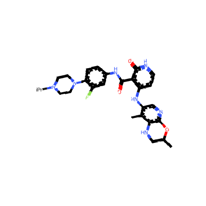 Cc1c(Nc2cc[nH]c(=O)c2C(=O)Nc2ccc(N3CCN(C(C)C)CC3)c(F)c2)cnc2c1NCC(C)O2